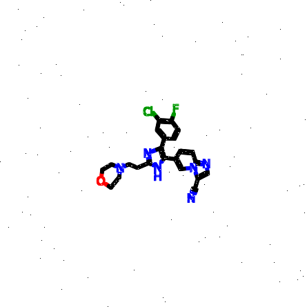 N#Cc1cnc2ccc(-c3[nH]c(CCN4CCOCC4)nc3-c3ccc(F)c(Cl)c3)cn12